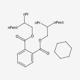 C1CCCCC1.CCCCCC(CCC)COC(=O)c1ccccc1C(=O)OCC(CCC)CCCCC